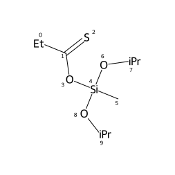 CCC(=S)O[Si](C)(OC(C)C)OC(C)C